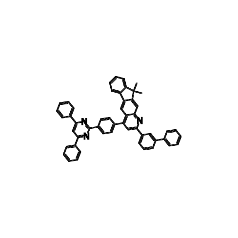 CC1(C)c2ccccc2-c2cc3c(-c4ccc(-c5nc(-c6ccccc6)cc(-c6ccccc6)n5)cc4)cc(-c4cccc(-c5ccccc5)c4)nc3cc21